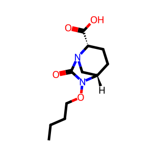 CCCCON1C(=O)N2C[C@@H]1CC[C@H]2C(=O)O